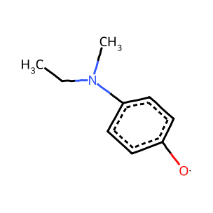 CCN(C)c1ccc([O])cc1